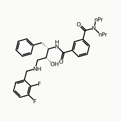 CCCN(CCC)C(=O)c1cccc(C(=O)N[C@@H](Cc2ccccc2)[C@H](O)CNCc2cccc(F)c2F)c1